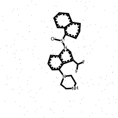 [O-][S+](c1cccc2ccccc12)n1cc(C(F)F)c2c(N3CCNCC3)cccc21